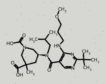 COCCCNc1nc(C(C)(C)C)ncc1C(=O)N(CC(C)C)[C@@H]1CN(C(=O)O)CC(C)(C(=O)O)C1